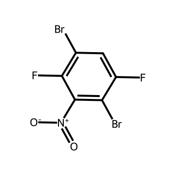 O=[N+]([O-])c1c(F)c(Br)cc(F)c1Br